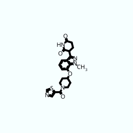 Cn1nc(C2CCC(=O)NC2=O)c2cccc(OC3CCN(C(=O)c4cncs4)CC3)c21